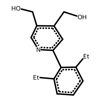 CCc1cccc(CC)c1-c1cc(CO)c(CO)cn1